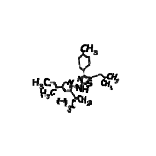 C=C(C)c1cc(/C(C)=C/C)cnc1Nc1nc(C2CCC(C)CC2)c(CC(C)C)s1